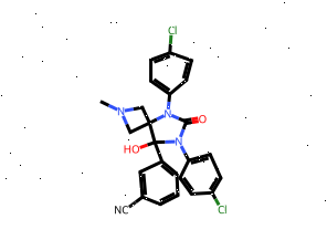 CN1CC2(C1)N(c1ccc(Cl)cc1)C(=O)N(c1ccc(Cl)cc1)C2(O)c1cccc(C#N)c1